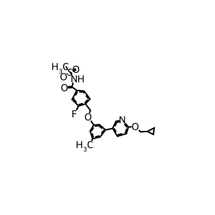 Cc1cc(OCc2ccc(C(=O)NS(C)(=O)=O)cc2F)cc(-c2ccc(OCC3CC3)nc2)c1